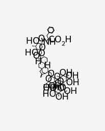 C=C1CC23CC[C@H]4[C@@](C)(CCC[C@@]4(C)C(=O)OC4O[C@H](C(=O)N[C@H](Cc5ccccc5)C(=O)O)[C@@H](O)[C@H](C)[C@H]4O)[C@@H]2CC(O[C@@H]2O[C@H](CO)[C@@H](O)C(O[C@@H]4O[C@H](CO)[C@@H](O)[C@H](O)[C@H]4O)[C@H]2O[C@@H]2O[C@H](CO)[C@@H](O)[C@H](O)[C@H]2O)C1C3